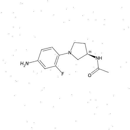 CC(=O)N[C@@H]1CCN(c2ccc(N)cc2F)C1